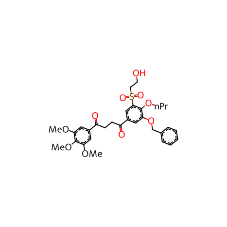 CCCOc1c(OCc2ccccc2)cc(C(=O)CCC(=O)c2cc(OC)c(OC)c(OC)c2)cc1S(=O)(=O)CCO